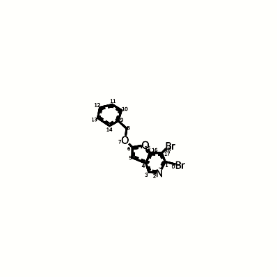 Brc1ncc2cc(OCc3ccccc3)oc2c1Br